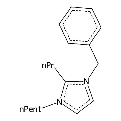 CCCCC[n+]1ccn(Cc2ccccc2)c1CCC